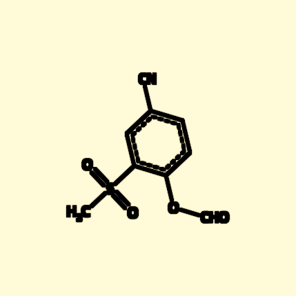 CS(=O)(=O)c1cc(C#N)ccc1OC=O